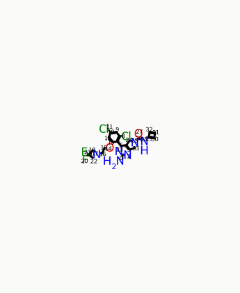 Nc1nc2c(c(-c3c(Cl)cc(Cl)cc3OCCN3CC(F)(F)C3)n1)CN(C(=O)NC1=CC=C1)C2